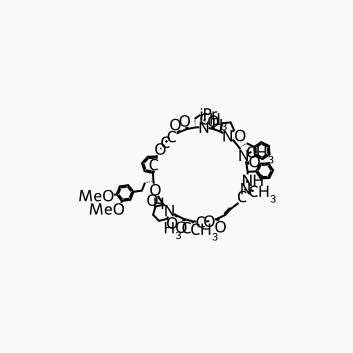 COc1ccc(CC[C@H]2OC(=O)[C@@H]3CCCCN3C(=O)C(=O)C(C)(C)COC(=O)/C=C/CCN(C)NC(c3ccccc3)C(=O)N(C)[C@@H](Cc3ccccc3)C(=O)N3CCC[C@@H]3C(=O)N(C)[C@@H](CC(C)C)C(=O)C(=O)CCOc3cccc2c3)cc1OC